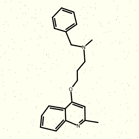 Cc1cc(OCCCN(C)Cc2ccccc2)c2ccccc2n1